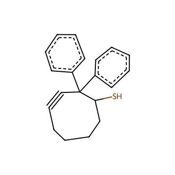 SC1CCCCC#CC1(c1ccccc1)c1ccccc1